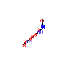 CC(=O)CCCCn1cc(CCCC(=O)NCCCOCCOCCOCCCNC(=O)CCC(C)=O)nn1